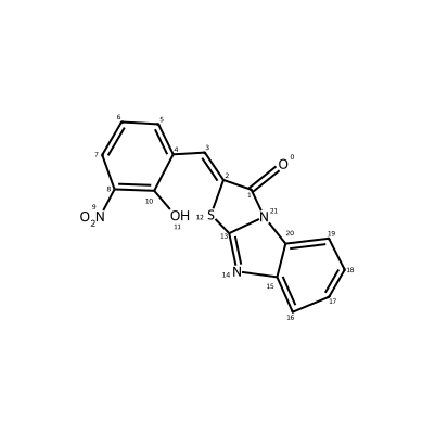 O=c1/c(=C/c2cccc([N+](=O)[O-])c2O)sc2nc3ccccc3n12